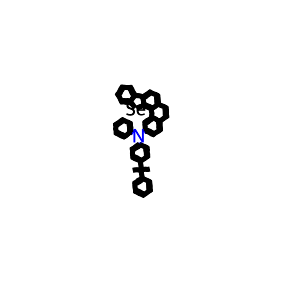 CC(C)(c1ccccc1)c1ccc(N(c2ccccc2)c2ccc3ccc4ccc5c6ccccc6[se]c5c4c3c2)cc1